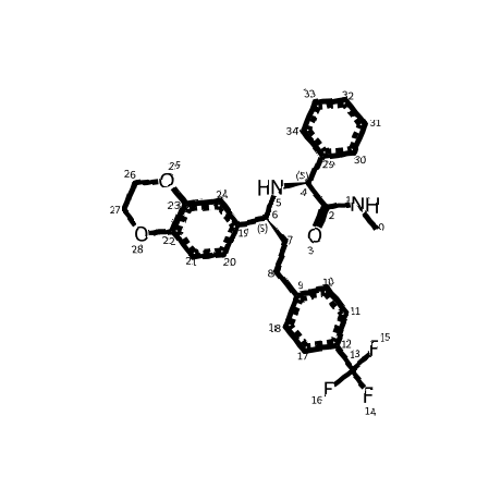 CNC(=O)[C@@H](N[C@@H](CCc1ccc(C(F)(F)F)cc1)c1ccc2c(c1)OCCO2)c1ccccc1